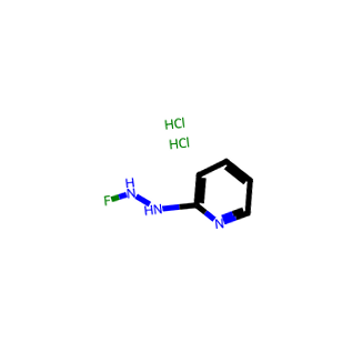 Cl.Cl.FNNc1ccccn1